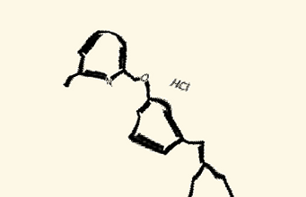 Cc1cccc(Oc2cccc(C=C3CCNCC3)c2)n1.Cl